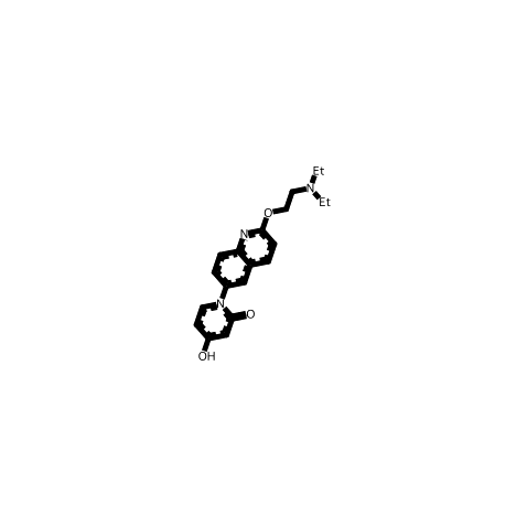 CCN(CC)CCOc1ccc2cc(-n3ccc(O)cc3=O)ccc2n1